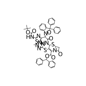 Cn1nnc(SC2=C(C(=O)OC(c3ccccc3)c3ccccc3)N3C(=O)CC3SC2NC(=O)/C(=N\OC(c2ccccc2)(c2ccccc2)c2ccccc2)c2csc(NC(=O)OC(C)(C)C)n2)n1